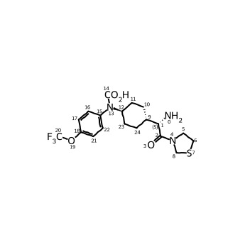 N[C@H](C(=O)N1CCSC1)[C@H]1CC[C@H](N(C(=O)O)c2ccc(OC(F)(F)F)cc2)CC1